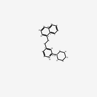 c1ccc2c(CCc3ccnc(N4CCCCC4)c3)cccc2c1